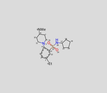 CCc1ccc(N2CCC(NC)CC2)c(S(=O)(=O)NC2CCCC2)c1